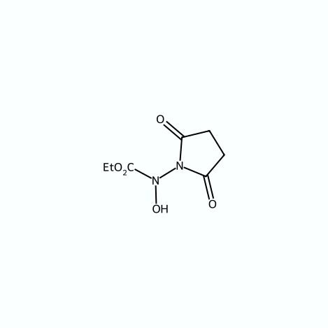 CCOC(=O)N(O)N1C(=O)CCC1=O